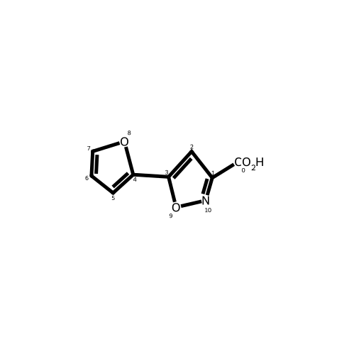 O=C(O)c1cc(-c2ccco2)on1